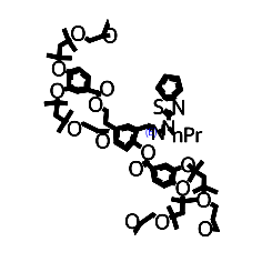 CCCN(/N=C/c1cc(CCOC(=O)c2ccc(OC(C)(C)CC(C)(C)OCC3CO3)c(OC(C)(C)CC(C)(C)OCC3CO3)c2)ccc1OC(=O)c1ccc(OC(C)(C)CC(C)(C)OCC2CO2)c(OC(C)(C)CC(C)(C)OCC2CO2)c1)c1nc2ccccc2s1